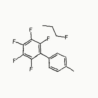 CCCF.Cc1ccc(-c2c(F)c(F)c(F)c(F)c2F)cc1